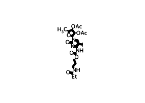 CCC(=O)NCCCOC(=O)Nc1nc(=O)n([C@@H]2O[C@H](C)[C@@H](OC(C)=O)[C@H]2OC(C)=O)cc1I